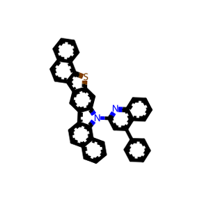 c1ccc(-c2cc(-n3c4cc5sc6c7ccccc7ccc6c5cc4c4ccc5ccccc5c43)nc3ccccc23)cc1